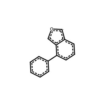 [c]1occ2c(-c3ccccc3)cccc12